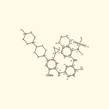 COc1cc(N2CCC(N3CCN(C)CC3)CC2)c(C2CC2)cc1Nc1ncc(Cl)c(Nc2ccc3c(c2N(C)S(C)(=O)=O)OCCO3)n1